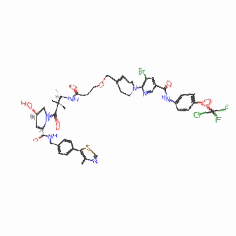 Cc1ncsc1-c1ccc(CNC(=O)[C@@H]2C[C@@H](O)CN2C(=O)C(C)(C)[C@H](C)NC(=O)CCOCC2CCN(c3ncc(C(=O)Nc4ccc(OC(F)(F)Cl)cc4)cc3Br)CC2)cc1